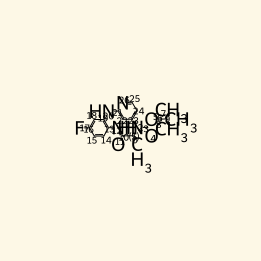 C[C@H](NC(=O)OC(C)(C)C)C(=O)Nc1ccc(F)cc1Nc1ccccn1